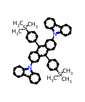 C[Si](C)(C)c1ccc(-c2c3ccc(-n4c5ccccc5c5ccccc54)cc3c(-c3ccc([Si](C)(C)C)cc3)c3ccc(-n4c5ccccc5c5ccccc54)cc23)cc1